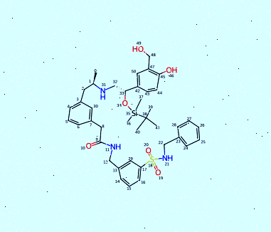 C[C@H](Cc1cccc(CC(=O)NCc2cccc(S(=O)(=O)NCc3ccccc3)c2)c1)NC[C@@H](O[Si](C)(C)C(C)(C)C)c1ccc(O)c(CO)c1